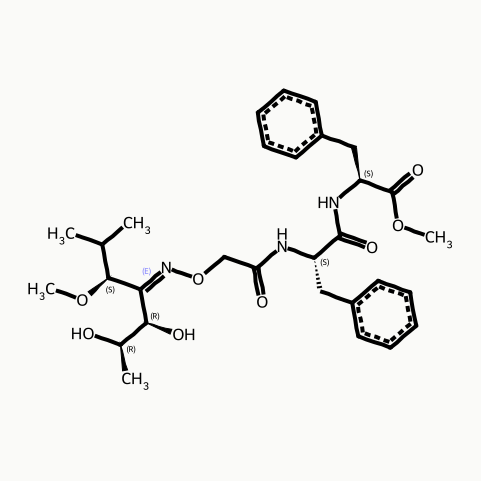 COC(=O)[C@H](Cc1ccccc1)NC(=O)[C@H](Cc1ccccc1)NC(=O)CO/N=C(/[C@@H](OC)C(C)C)[C@@H](O)[C@@H](C)O